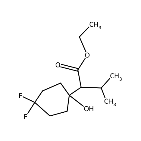 CCOC(=O)C(C(C)C)C1(O)CCC(F)(F)CC1